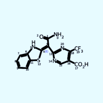 NC(=O)/C(=C1\Nc2ccccc2S1)c1ncc(C(=O)O)c(C(F)(F)F)n1